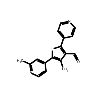 Cc1cc(-c2sc(-c3ccncc3)c(C=O)c2C)ccn1